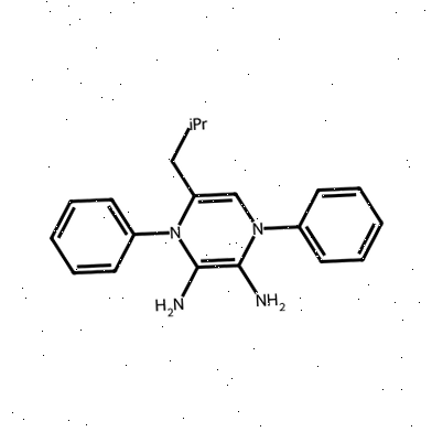 CC(C)CC1=CN(c2ccccc2)C(N)=C(N)N1c1ccccc1